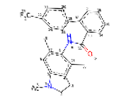 CC(=O)N1CCc2c1cc(C)c(NC(=O)c1ccccc1-c1ccc(C(F)(F)F)cc1)c2C